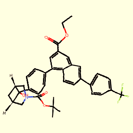 CCOC(=O)c1cc(-c2ccc(C3(O)[C@@H]4C[C@H]3CN(C(=O)OC(C)(C)C)C4)cc2)c2ccc(-c3ccc(C(F)(F)F)cc3)cc2c1